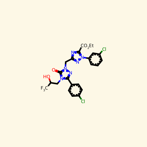 CCOC(=O)c1nc(Cn2nc(-c3ccc(Cl)cc3)n(CC(O)C(F)(F)F)c2=O)nn1-c1cccc(Cl)c1